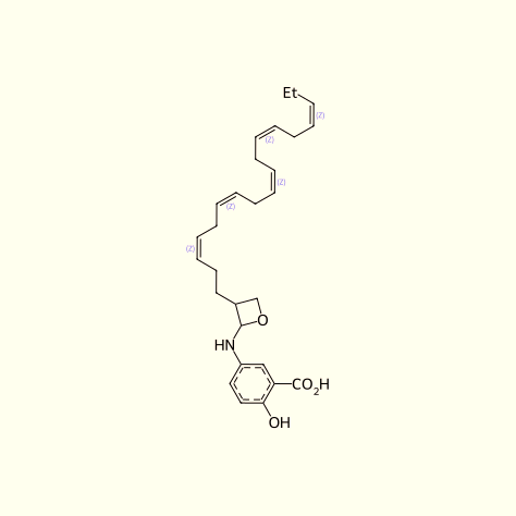 CC/C=C\C/C=C\C/C=C\C/C=C\C/C=C\CCC1COC1Nc1ccc(O)c(C(=O)O)c1